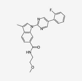 COCCNC(=O)c1ccc2c(C)cn(-c3ncc(-c4ccccc4F)cn3)c2c1